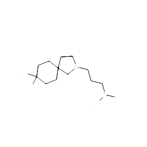 CCC1(CC)CCC2(CCN(CCCN(C)C)C2)CC1.Cl.Cl